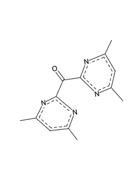 Cc1cc(C)nc(C(=O)c2nc(C)cc(C)n2)n1